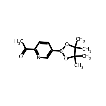 CC(=O)c1ccc(B2OC(C)(C)C(C)(C)O2)cn1